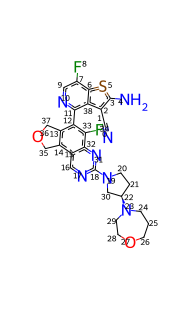 N#Cc1c(N)sc2c(F)cnc(-c3c4c(c5cnc(N6CC[C@@H](N7CCCOCC7)C6)nc5c3F)COC4)c12